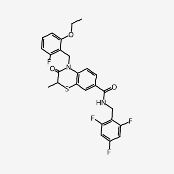 CCOc1cccc(F)c1CN1C(=O)C(C)Sc2cc(C(=O)NCc3c(F)cc(F)cc3F)ccc21